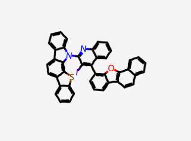 Ic1c(-n2c3ccccc3c3ccc4c5ccccc5sc4c32)nc2ccccc2c1-c1cccc2c1oc1c3ccccc3ccc21